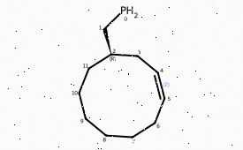 PC[C@H]1C/C=C\CCCCCC1